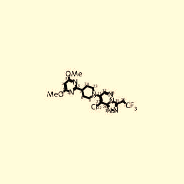 COc1cc(OC)nc(C2CCN(c3cnn4c(CC(F)(F)F)nnc4c3Cl)CC2)n1